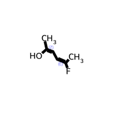 C/C(O)=C/C=C(\C)F